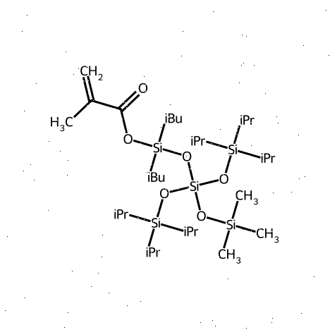 C=C(C)C(=O)O[Si](O[Si](O[Si](C)(C)C)(O[Si](C(C)C)(C(C)C)C(C)C)O[Si](C(C)C)(C(C)C)C(C)C)(C(C)CC)C(C)CC